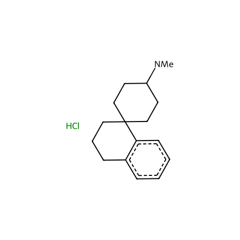 CNC1CCC2(CCCc3ccccc32)CC1.Cl